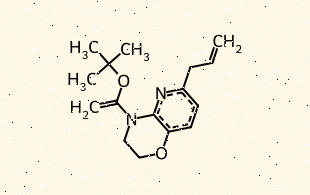 C=CCc1ccc2c(n1)N(C(=C)OC(C)(C)C)CCO2